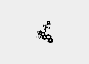 C[C@]12CCC3c4ccccc4CCC3C1[C@H](CCC(=O)NC1CCC1)c1c[nH]nc12